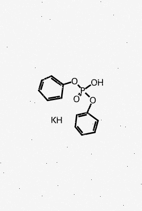 O=P(O)(Oc1ccccc1)Oc1ccccc1.[KH]